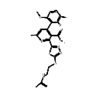 COc1ccc(Cl)c(F)c1-c1cc(C)nc(-c2nnc(OCCNC(C)=O)s2)c1C(N)=O